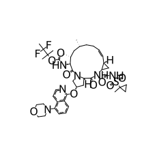 C[C@@H]1CC/C=C\[C@@H]2C[C@@]2(C(=O)NS(=O)(=O)C2(C)CC2)NC(=O)[C@@H]2C[C@@H](Oc3nccc4c(N5CCOCC5)cccc34)CN2C(=O)[C@@H](NC(=O)OC(C)(C)C(C)(F)F)[C@H](C)C1